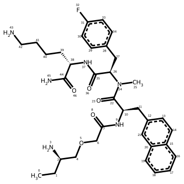 CC[C@@H](N)COCC(=O)N[C@H](Cc1ccc2ccccc2c1)C(=O)N(C)[C@H](Cc1ccc(F)cc1)C(=O)N[C@@H](CCCCN)C(N)=O